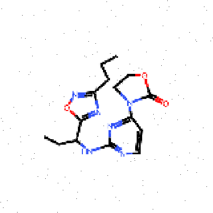 CCCc1noc(C(CC)Nc2nccc(N3CCOC3=O)n2)n1